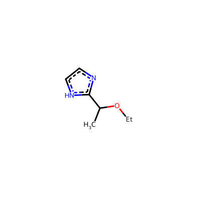 CCOC(C)c1ncc[nH]1